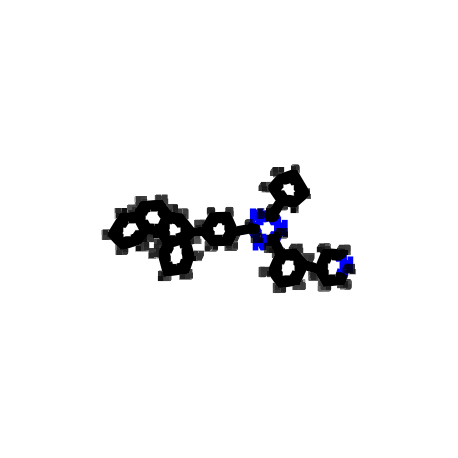 c1ccc(-c2nc(-c3ccc(-c4cc5ccc6ccccc6c5c5ccccc45)cc3)nc(-c3cccc(-c4ccncc4)c3)n2)cc1